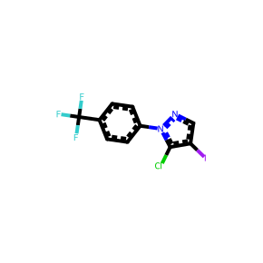 FC(F)(F)c1ccc(-n2ncc(I)c2Cl)cc1